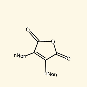 CCCCCCCCCC1=C(CCCCCCCCC)C(=O)OC1=O